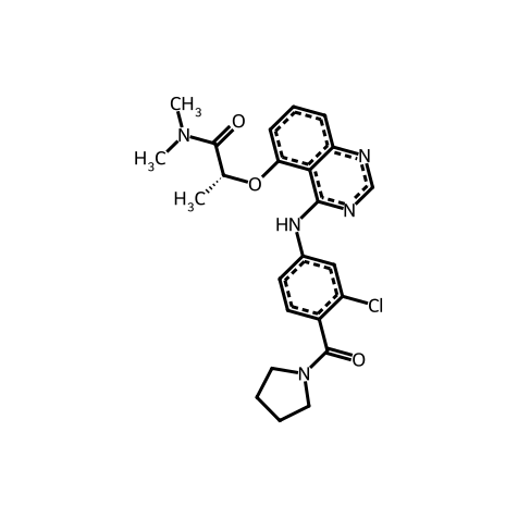 C[C@@H](Oc1cccc2ncnc(Nc3ccc(C(=O)N4CCCC4)c(Cl)c3)c12)C(=O)N(C)C